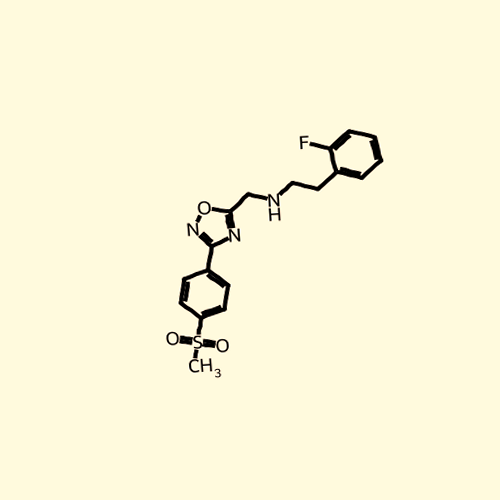 CS(=O)(=O)c1ccc(-c2noc(CNCCc3ccccc3F)n2)cc1